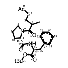 CC(=O)SCC(C)C(=O)N1CCC[C@H]1C(=O)N[C@@H](Cc1ccccc1)C(=O)OC(C)(C)C